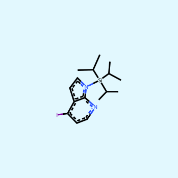 CC(C)[Si](C(C)C)(C(C)C)n1ccc2c(I)ccnc21